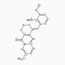 CCOc1cccc(C=C2CCCc3c2nc2ccc(C(=O)O)cn2c3=O)c1OC